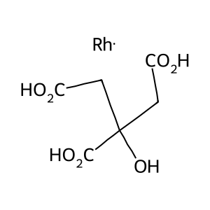 O=C(O)CC(O)(CC(=O)O)C(=O)O.[Rh]